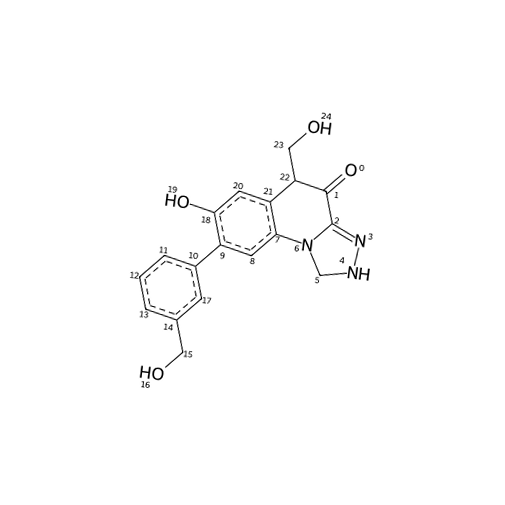 O=C1C2=NNCN2c2cc(-c3cccc(CO)c3)c(O)cc2C1CO